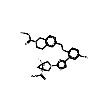 COC(=O)[C@]12C[C@H]1CN(c1nc(-c3cc(C)ccc3OCc3ccc4c(c3)CCN(C(=O)OC(C)(C)C)C4)cs1)C2